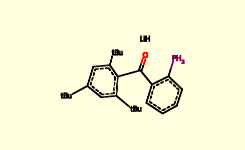 CC(C)(C)c1cc(C(C)(C)C)c(C(=O)c2ccccc2P)c(C(C)(C)C)c1.[LiH]